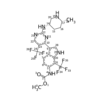 COC(=O)Nc1ccc2c(-c3nc(N[C@H]4CC[C@@H](C)NC4)ncc3C(F)(F)F)c[nH]c2c1C(F)(F)F